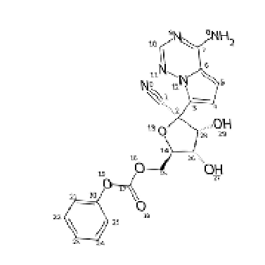 N#C[C@@]1(c2ccc3c(N)ncnn23)O[C@H](COC(=O)Oc2ccccc2)[C@@H](O)[C@H]1O